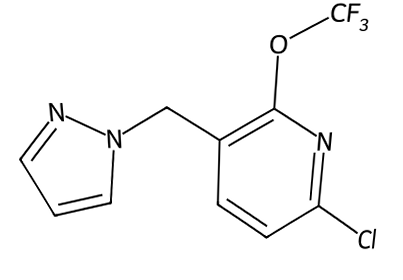 FC(F)(F)Oc1nc(Cl)ccc1Cn1cccn1